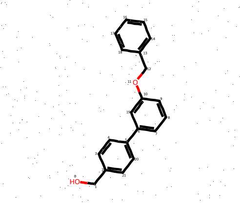 OCc1ccc(-c2cccc(OCc3ccccc3)c2)cc1